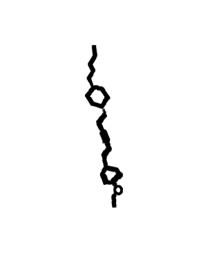 CCCCC[C@H]1CC[C@H](C=CC#CC=Cc2ccc(OCC)cc2)CC1